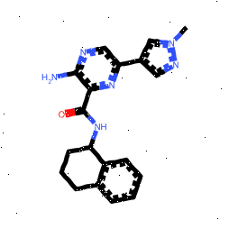 Cn1cc(-c2cnc(N)c(C(=O)NC3CCCc4ccccc43)n2)cn1